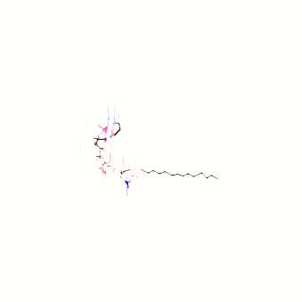 [2H]C([2H])(OP(=O)(O)OC[C@H](COCCCCCCCCCCCCCC)NC(C)=O)[C@H]1O[C@@H](n2ccc(=O)[nH]c2=S)C(C)(O)[C@H]1O